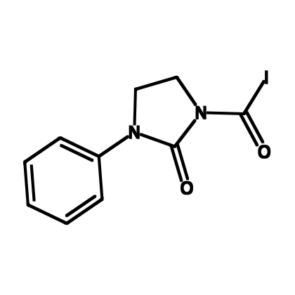 O=C(I)N1CCN(c2ccccc2)C1=O